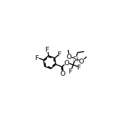 CC[Si](OC)(OC)C(F)(F)OC(=O)c1ccc(F)c(F)c1F